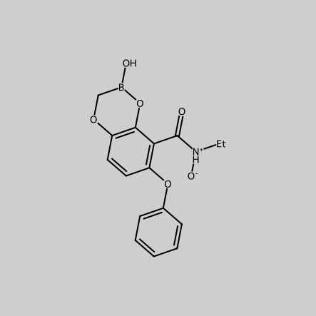 CC[NH+]([O-])C(=O)c1c(Oc2ccccc2)ccc2c1OB(O)CO2